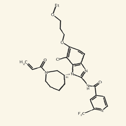 C=CC(=O)N1CCCC[C@@H](n2c(NC(=O)c3ccnc(C(F)(F)F)c3)nc3ccc(OCCCOCC)c(Cl)c32)C1